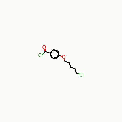 O=C(Cl)c1ccc(OCCCCCCl)cc1